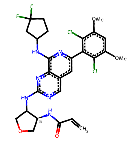 C=CC(=O)N[C@H]1COCC1Nc1ncc2cc(-c3c(Cl)c(OC)cc(OC)c3Cl)nc(NC3CCC(F)(F)C3)c2n1